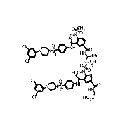 CN(c1ccc(C(=O)NC(C(=O)O)C(C)(C)C)cc1C(=O)Nc1ccc(S(=O)(=O)N2CCN(c3cc(Cl)cc(Cl)c3)CC2)cc1)S(C)(=O)=O.CN(c1ccc(C(=O)NCC(=O)O)cc1C(=O)Nc1ccc(S(=O)(=O)N2CCN(c3cc(Cl)cc(Cl)c3)CC2)cc1)S(C)(=O)=O